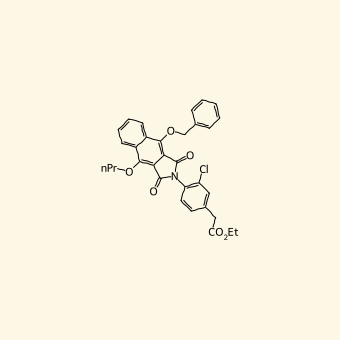 CCCOc1c2c(c(OCc3ccccc3)c3ccccc13)C(=O)N(c1ccc(CC(=O)OCC)cc1Cl)C2=O